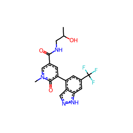 CC(O)CNC(=O)c1cc(-c2cc(C(F)(F)F)cc3[nH]ncc23)c(=O)n(C)c1